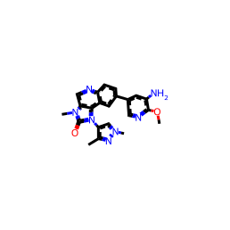 COc1ncc(-c2ccc3ncc4c(c3c2)n(-c2cn(C)nc2C)c(=O)n4C)cc1N